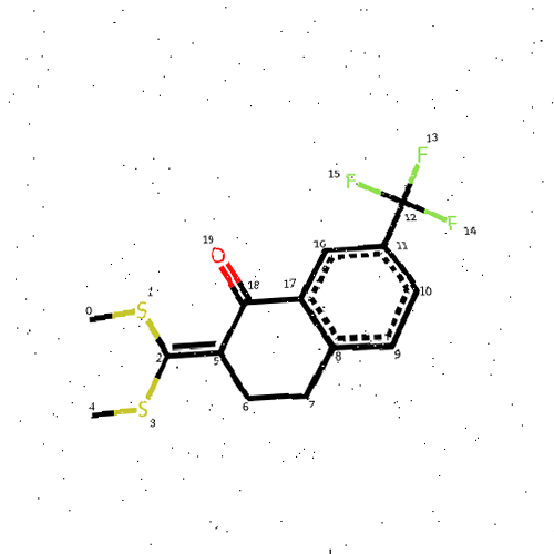 CSC(SC)=C1CCc2ccc(C(F)(F)F)cc2C1=O